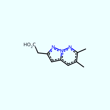 Cc1cc2cc(CC(=O)O)nn2nc1C